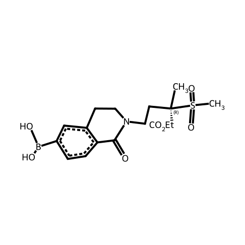 CCOC(=O)[C@@](C)(CCN1CCc2cc(B(O)O)ccc2C1=O)S(C)(=O)=O